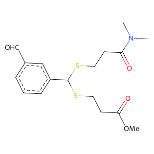 COC(=O)CCSC(SCCC(=O)N(C)C)c1cccc(C=O)c1